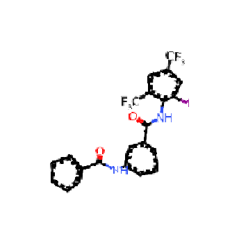 O=C(Nc1cccc(C(=O)Nc2c(I)cc(C(F)(F)F)cc2C(F)(F)F)c1)c1ccccc1